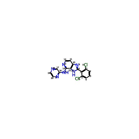 Clc1cccc(Cl)c1-c1nc2ccnc(Nc3cnccn3)c2[nH]1